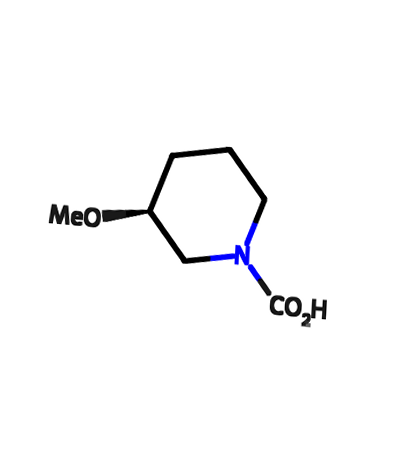 CO[C@H]1CCCN(C(=O)O)C1